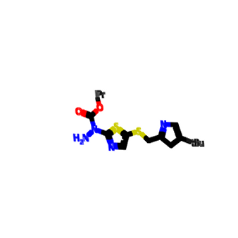 CC(C)OC(=O)N(N)c1ncc(SCC2=NC=C(C(C)(C)C)C2)s1